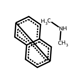 CNC.c1cc2cc3ccc2cc13